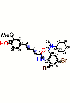 COc1cc(/C=C/C=C/C(=O)Nc2c(Br)cc(Br)cc2CN(C)C2CCCCC2)ccc1O